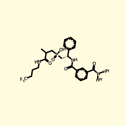 CCCN(CCC)C(=O)c1cccc(C(=O)N[C@H](CP(=O)(O)CC(C)C(=O)NCCCC(F)(F)F)c2ccccc2)c1